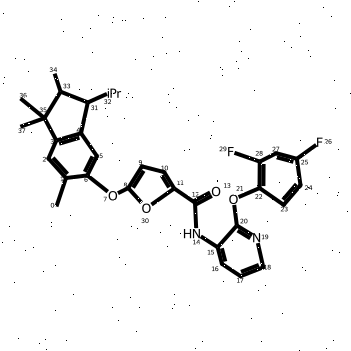 Cc1cc2c(cc1Oc1ccc(C(=O)Nc3cccnc3Oc3ccc(F)cc3F)o1)C(C(C)C)C(C)C2(C)C